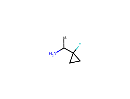 CCC(N)C1(F)CC1